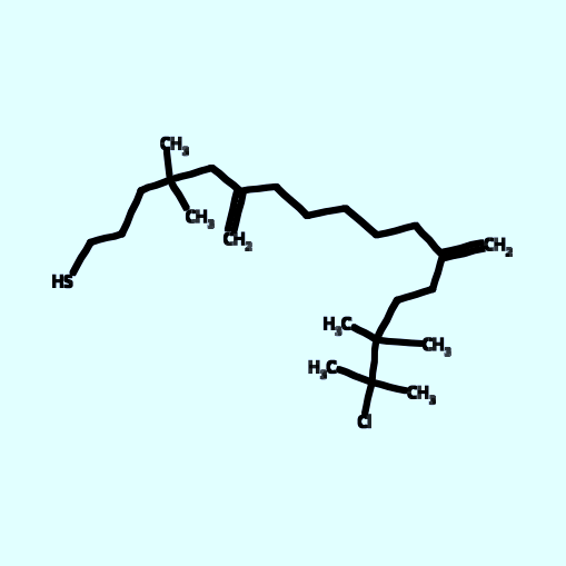 C=C(CCCCCC(=C)CC(C)(C)CCCS)CCC(C)(C)C(C)(C)Cl